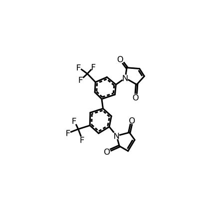 O=C1C=CC(=O)N1c1cc(-c2cc(N3C(=O)C=CC3=O)cc(C(F)(F)F)c2)cc(C(F)(F)F)c1